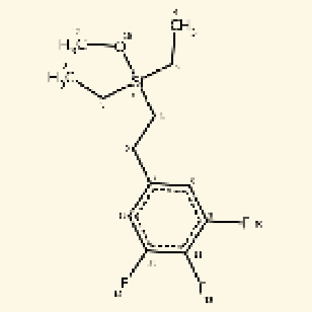 CC[Si](CC)(CCc1cc(F)c(F)c(F)c1)OC